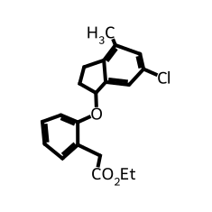 CCOC(=O)Cc1ccccc1OC1CCc2c(C)cc(Cl)cc21